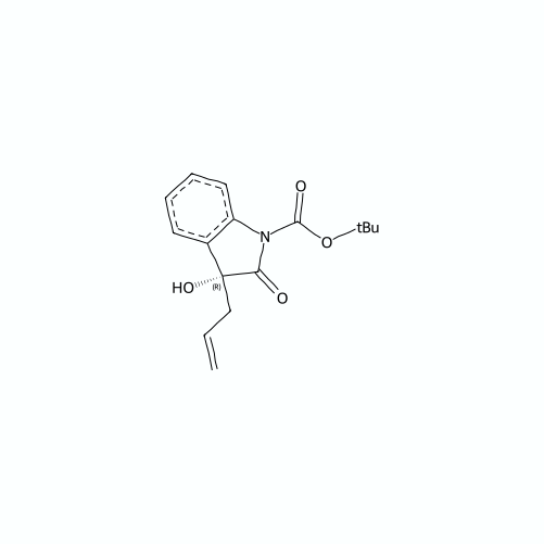 C=CC[C@]1(O)C(=O)N(C(=O)OC(C)(C)C)c2ccccc21